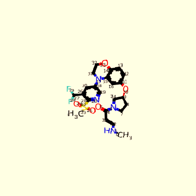 CN/C=C/C(=O)N1CC[C@H](Oc2ccc3c(c2)N(c2cnc(S(C)(=O)=O)c(C(F)F)c2)CCO3)C1